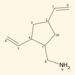 C=CC1CC(C=C)C(CN)C1